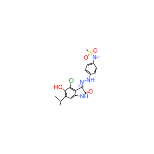 CC(C)c1cc2c(c(Cl)c1O)/C(=N/Nc1ccc(N(C)S(C)(=O)=O)cc1)C(=O)N2